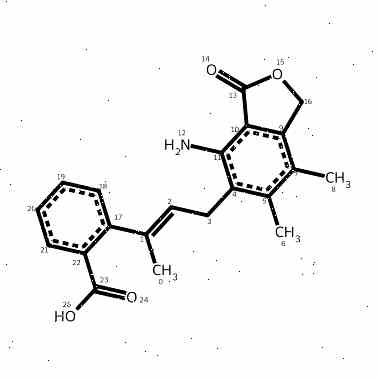 C/C(=C\Cc1c(C)c(C)c2c(c1N)C(=O)OC2)c1ccccc1C(=O)O